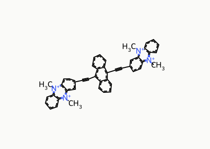 C[n+]1c2ccccc2[n+](C)c2cc(C#Cc3c4ccccc4c(C#Cc4ccc5c(c4)[n+](C)c4ccccc4[n+]5C)c4ccccc34)ccc21